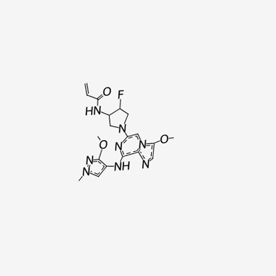 C=CC(=O)NC1CN(c2cn3c(OC)cnc3c(Nc3cn(C)nc3OC)n2)CC1F